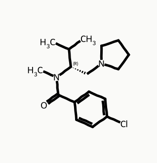 CC(C)[C@H](CN1CCCC1)N(C)C(=O)c1ccc(Cl)cc1